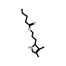 CCCCC(=O)OCCCC1NCC(C)=C1C